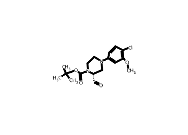 COc1cc(N2CCN(C(=O)OC(C)(C)C)[C@@H](C=O)C2)ccc1Cl